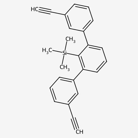 C#Cc1cccc(-c2cccc(-c3cccc(C#C)c3)c2[Si](C)(C)C)c1